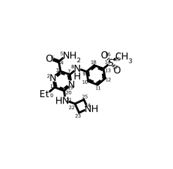 CCc1nc(C(N)=O)c(Nc2cccc(S(C)(=O)=O)c2)nc1NC1CNC1